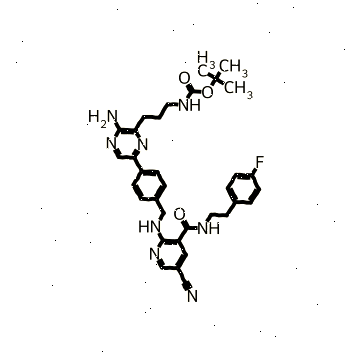 CC(C)(C)OC(=O)NCCCc1nc(-c2ccc(CNc3ncc(C#N)cc3C(=O)NCCc3ccc(F)cc3)cc2)cnc1N